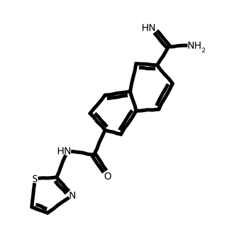 N=C(N)c1ccc2cc(C(=O)Nc3nccs3)ccc2c1